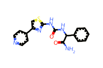 NC(=O)C(NC(=O)Nc1nc(-c2ccncc2)cs1)c1ccccc1